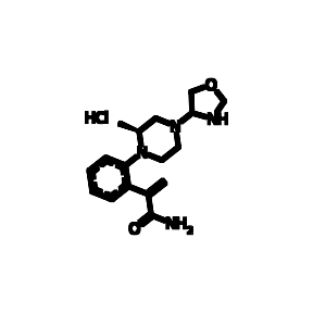 C=C(C(N)=O)c1ccccc1N1CCN(C2COCN2)C[C@@H]1C.Cl